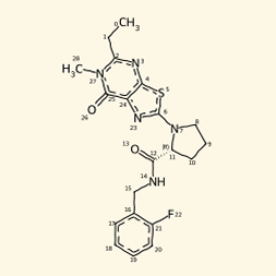 CCc1nc2sc(N3CCC[C@@H]3C(=O)NCc3ccccc3F)nc2c(=O)n1C